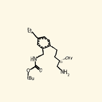 CCc1ccc(CC[C@H](O)CN)c(CNC(=O)OC(C)(C)C)c1